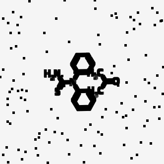 CC(C)=O.NC(=S)N(c1ccccc1)c1ccccc1